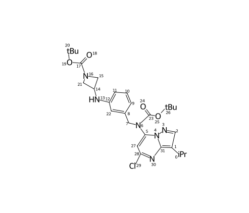 CC(C)c1cnn2c(N(Cc3cccc(NC4CN(C(=O)OC(C)(C)C)C4)c3)C(=O)OC(C)(C)C)cc(Cl)nc12